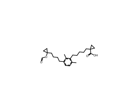 Cc1ccc(CCCCC2(OC=O)CC2)c(C)c1CCCCCC1(C(=O)O)CC1